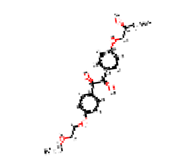 COOCCOc1ccc(C(=O)C(=O)c2ccc(OCC(=O)OC)cc2)cc1